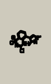 Cc1nn(C)cc1-c1cccc2c1NC(Cl)=NS2(=O)=O